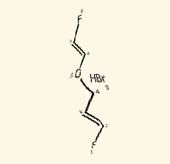 Br.FC=CCOC=CF